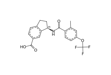 Cc1cc(OC(F)(F)F)ccc1C(=O)N[C@@H]1CCc2ccc(C(=O)O)cc21